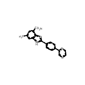 Cc1cc(C(=O)O)c2nc(-c3ccc(-c4cnccn4)cc3)[nH]c2c1